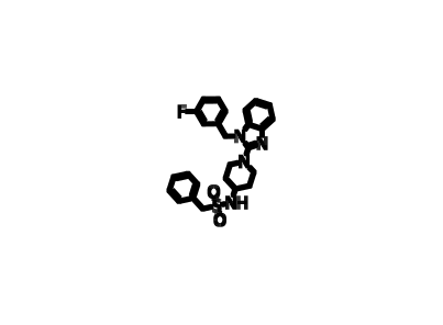 O=S(=O)(Cc1ccccc1)NC1CCN(c2nc3ccccc3n2Cc2cccc(F)c2)CC1